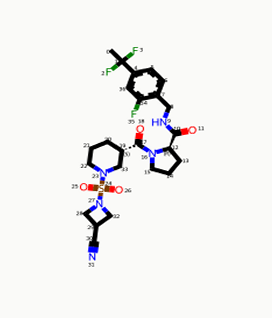 CC(F)(F)c1ccc(CNC(=O)[C@H]2CCCN2C(=O)[C@H]2CCCN(S(=O)(=O)N3CC(C#N)C3)C2)c(F)c1